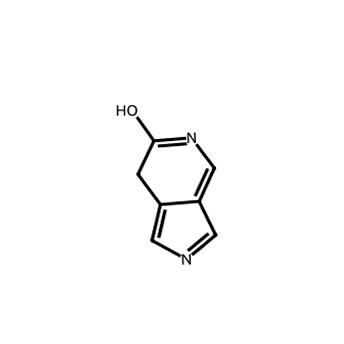 OC1=NC=C2C=NC=C2C1